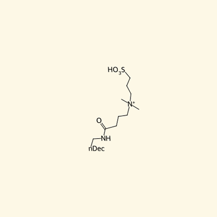 CCCCCCCCCCCNC(=O)CCC[N+](C)(C)CCCS(=O)(=O)O